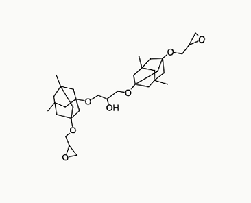 CC12CC3(C)CC(OCC(O)COC45CC6(C)CC(C)(C4)CC(OCC4CO4)(C6)C5)(C1)CC(OCC1CO1)(C2)C3